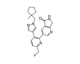 CC1(Cn2cc(-c3ccc(CF)nc3-c3cnc4c(c3)C(=O)NC4)cn2)CCCC1